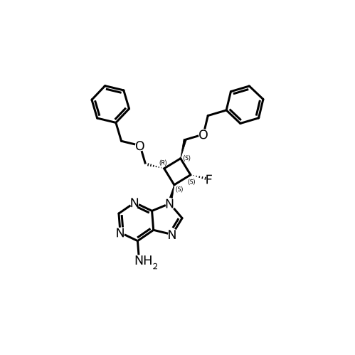 Nc1ncnc2c1ncn2[C@@H]1[C@@H](F)[C@H](COCc2ccccc2)[C@H]1COCc1ccccc1